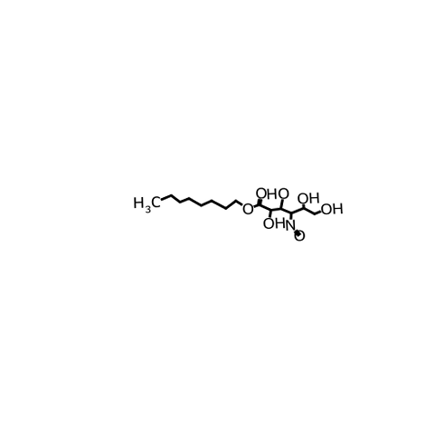 CCCCCCCCOC(=O)C(O)C(O)C(N=O)C(O)CO